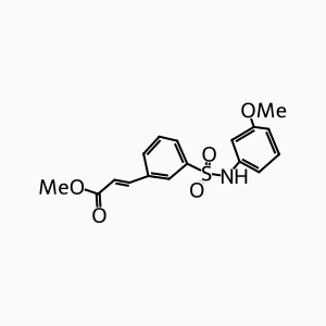 COC(=O)C=Cc1cccc(S(=O)(=O)Nc2cccc(OC)c2)c1